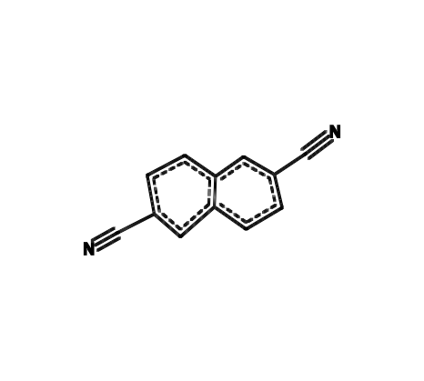 N#Cc1ccc2cc(C#N)ccc2c1